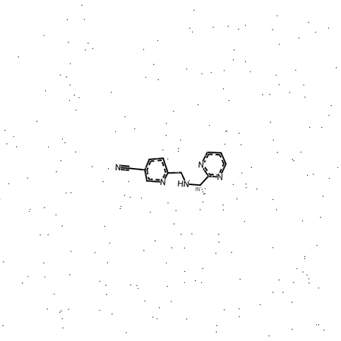 C[C@H](NCc1ccc(C#N)cn1)c1ncccn1